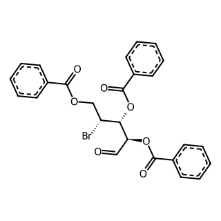 O=C[C@H](OC(=O)c1ccccc1)[C@@H](OC(=O)c1ccccc1)[C@H](Br)COC(=O)c1ccccc1